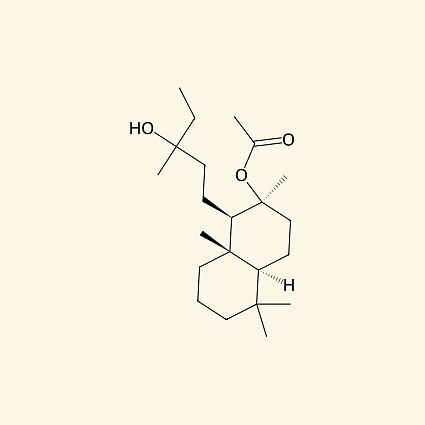 CCC(C)(O)CC[C@@H]1[C@@]2(C)CCCC(C)(C)[C@@H]2CC[C@]1(C)OC(C)=O